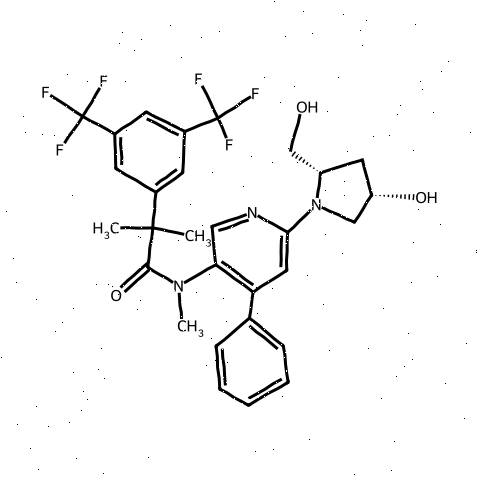 CN(C(=O)C(C)(C)c1cc(C(F)(F)F)cc(C(F)(F)F)c1)c1cnc(N2C[C@@H](O)C[C@H]2CO)cc1-c1ccccc1